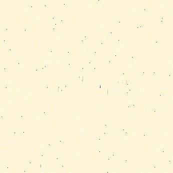 CC(C)COC[C@@H](O)CN1CCN(C)CC1